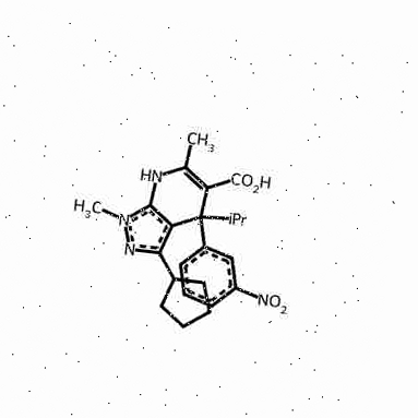 CC1=C(C(=O)O)C(c2cccc([N+](=O)[O-])c2)(C(C)C)c2c(C3CCCC3)nn(C)c2N1